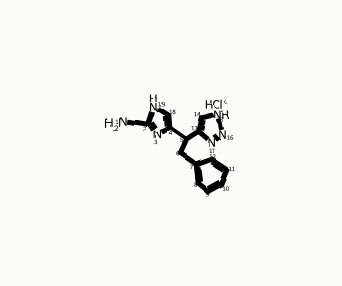 Cl.Nc1nc(C(Cc2ccccc2)c2c[nH]nn2)c[nH]1